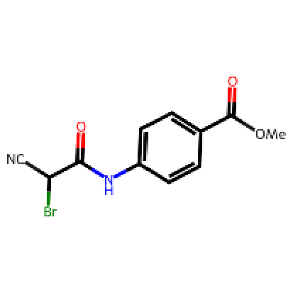 COC(=O)c1ccc(NC(=O)C(Br)C#N)cc1